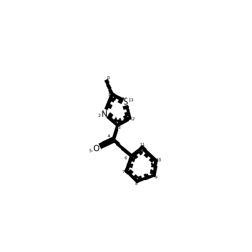 Cc1nc(C(=O)c2ccccc2)cs1